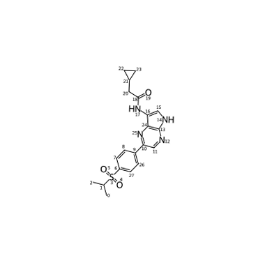 CC(C)S(=O)(=O)c1ccc(-c2cnc3[nH]cc(NC(=O)CC4CC4)c3n2)cc1